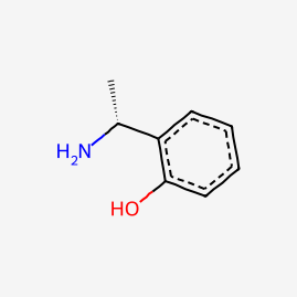 C[C@@H](N)c1ccccc1O